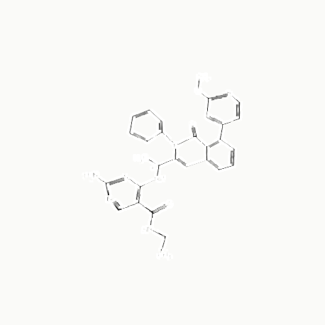 CCNC(=O)c1cnc(N)nc1N[C@@H](C)c1cc2cccc(-c3ccnc(OC)c3)c2c(=O)n1-c1ccccc1